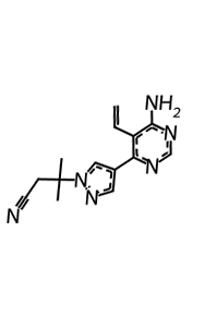 C=Cc1c(N)ncnc1-c1cnn(C(C)(C)CC#N)c1